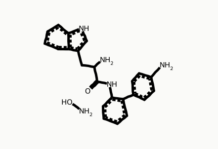 NO.Nc1ccc(-c2ccccc2NC(=O)C(N)Cc2c[nH]c3ccccc23)cc1